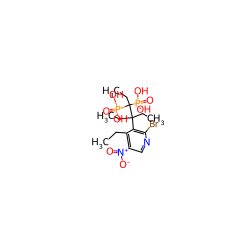 CCc1c([N+](=O)[O-])cnc(Br)c1C(CC)(CC)C(CC)(P(=O)(O)O)P(=O)(O)O